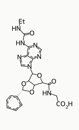 CCNC(=O)Nc1ncnc2c1ncn2C1OC(C(=O)NCC(=O)O)C2O[C@H](c3ccccc3)OC21